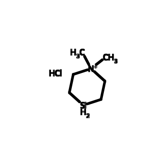 C[N+]1(C)CC[SiH2]CC1.Cl